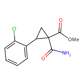 COC(=O)C1(C(N)=O)CC1c1ccccc1Cl